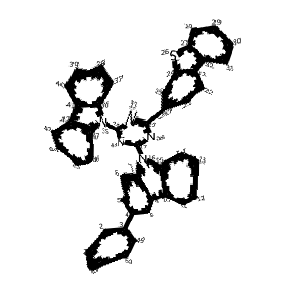 c1ccc(-c2ccc3c(c2)c2ccccc2n3-c2nc(-c3ccc4c(c3)sc3ccccc34)nc(-n3c4ccccc4c4ccccc43)n2)cc1